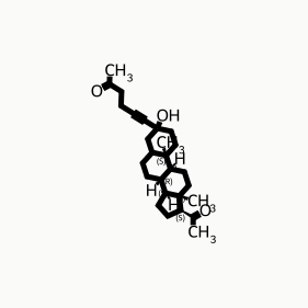 CC(=O)CCC#CC1(O)CC[C@@]2(C)C(CC[C@H]3[C@@H]4CC[C@H](C(C)=O)[C@@]4(C)CC[C@@H]32)C1